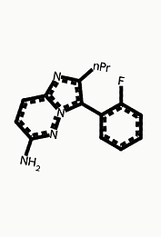 CCCc1nc2ccc(N)nn2c1-c1ccccc1F